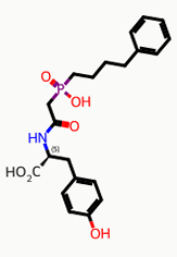 O=C(CP(=O)(O)CCCCc1ccccc1)N[C@@H](Cc1ccc(O)cc1)C(=O)O